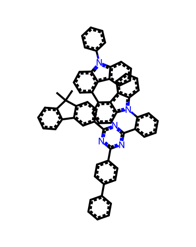 CC1(C)c2ccccc2-c2cc(-c3nc(-c4ccc(-c5ccccc5)cc4)nc(-c4ccccc4-n4c5ccccc5c5c(-c6cccc7c6c6ccccc6n7-c6ccccc6)cccc54)n3)ccc21